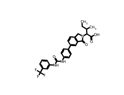 CCC(C)C(C(=O)O)N1Cc2ccc(-c3ccc(NC(=O)Nc4cccc(C(F)(F)F)c4)cc3)cc2C1=O